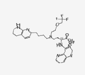 CC(=O)[C@H](CCN(CCCCc1ccc2c(n1)NCCC2)CCOCC(F)(F)F)Nc1c2ncccc2nc[n+]1O